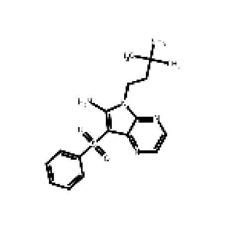 CC(C)(C)CCn1c(N)c(S(=O)(=O)c2ccccc2)c2nccnc21